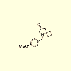 COc1ccc(CN2CC(=O)CC23CCC3)cc1